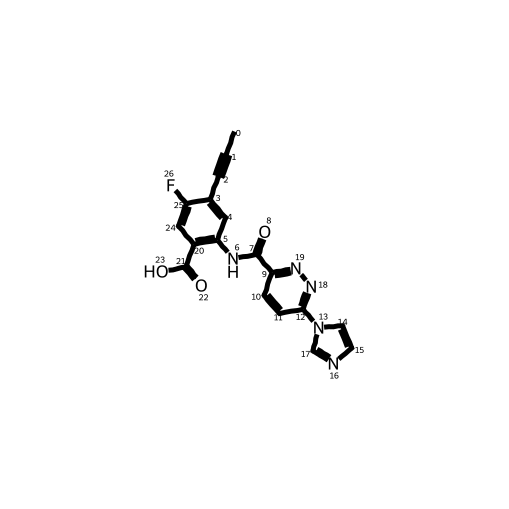 CC#Cc1cc(NC(=O)c2ccc(-n3ccnc3)nn2)c(C(=O)O)cc1F